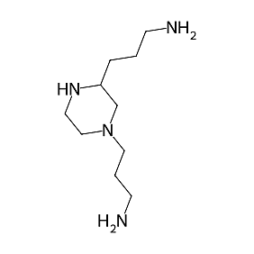 NCCCC1CN(CCCN)CCN1